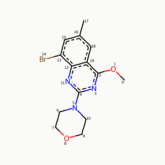 COc1nc(N2CCOCC2)nc2c(Br)cc(C)cc12